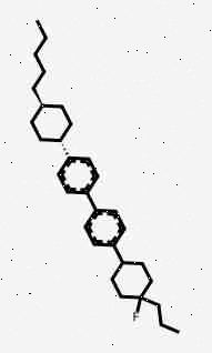 CCCCC[C@H]1CC[C@H](c2ccc(-c3ccc(C4CCC(F)(CCC)CC4)cc3)cc2)CC1